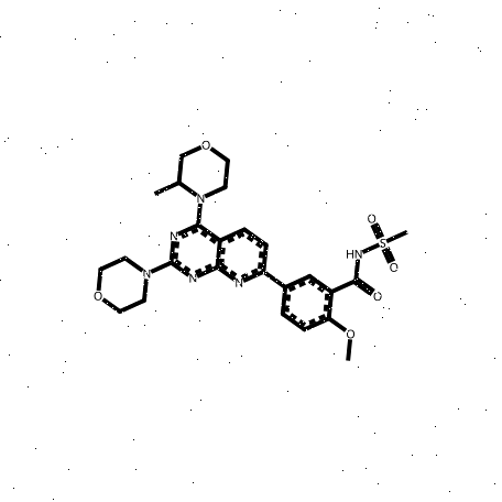 COc1ccc(-c2ccc3c(N4CCOCC4C)nc(N4CCOCC4)nc3n2)cc1C(=O)NS(C)(=O)=O